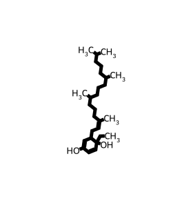 CCC1(O)C=CC(O)=CC1CC=C(C)CCCC(C)CCCC(C)CCCC(C)C